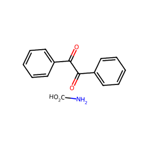 NC(=O)O.O=C(C(=O)c1ccccc1)c1ccccc1